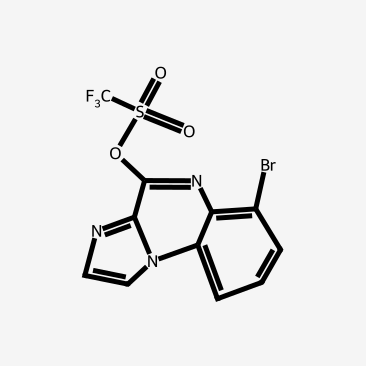 O=S(=O)(Oc1nc2c(Br)cccc2n2ccnc12)C(F)(F)F